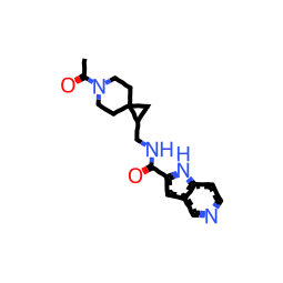 CC(=O)N1CCC2(CC1)CC2CNC(=O)c1cc2cnccc2[nH]1